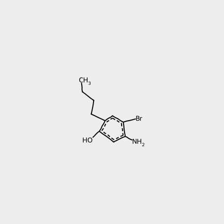 CCCCc1cc(Br)c(N)cc1O